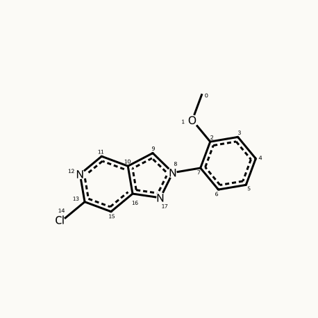 COc1ccccc1-n1cc2cnc(Cl)cc2n1